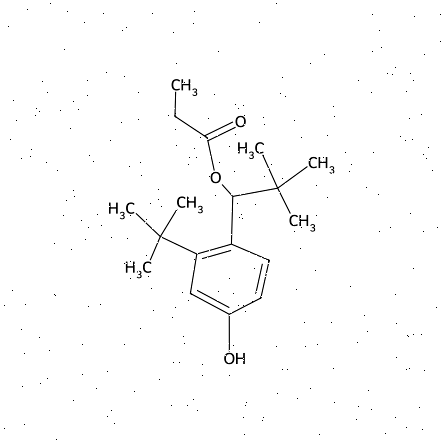 CCC(=O)OC(c1ccc(O)cc1C(C)(C)C)C(C)(C)C